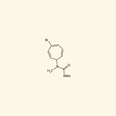 CNC(=O)N(C)C1C=CC=C(Br)C=C1